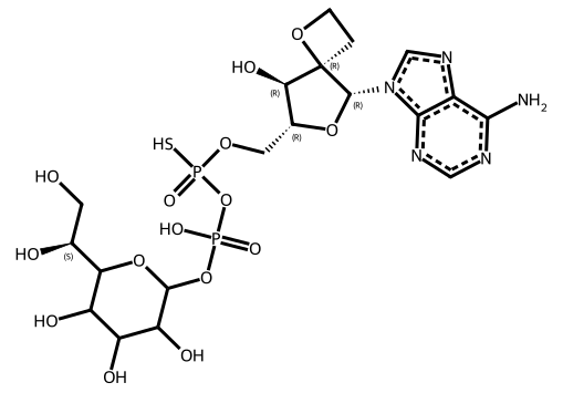 Nc1ncnc2c1ncn2[C@@H]1O[C@H](COP(=O)(S)OP(=O)(O)OC2OC([C@@H](O)CO)C(O)C(O)C2O)[C@@H](O)[C@]12CCO2